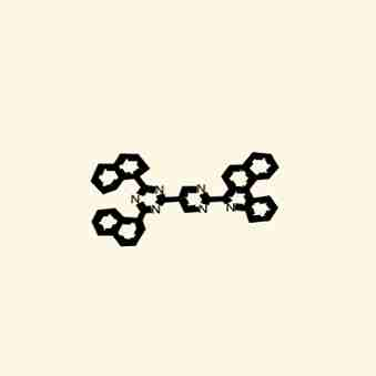 c1ccc2c(-c3nc(-c4cnc(-c5nc6ccccc6c6c5ccc5ccccc56)nc4)nc(-c4cccc5ccccc45)n3)cccc2c1